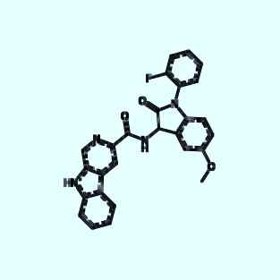 COc1ccc2c(c1)C(NC(=O)c1cc3c(cn1)[nH]c1ccccc13)C(=O)N2c1ccccc1F